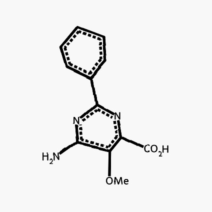 COc1c(N)nc(-c2ccccc2)nc1C(=O)O